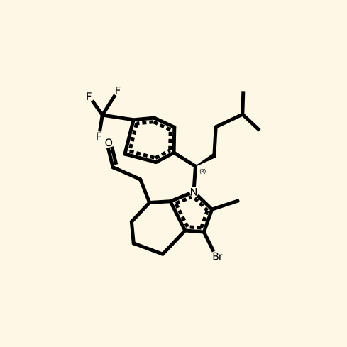 Cc1c(Br)c2c(n1[C@H](CCC(C)C)c1ccc(C(F)(F)F)cc1)C(CC=O)CCC2